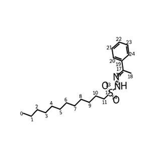 CCCCCCCCCCCCS(=O)(=O)N/N=C(\C)c1ccccc1